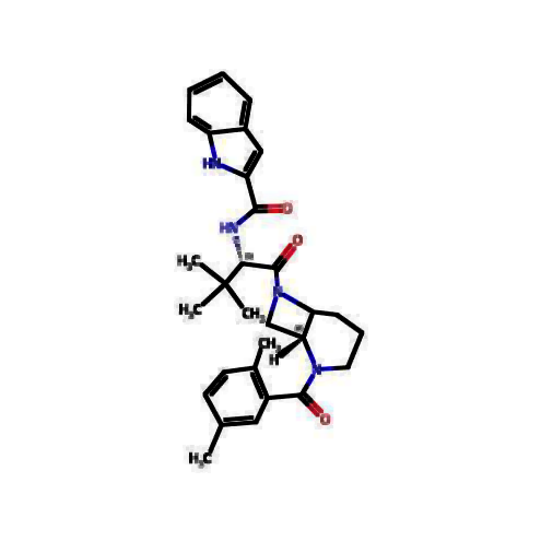 Cc1ccc(C)c(C(=O)N2CCCC3[C@H]2CN3C(=O)[C@@H](NC(=O)c2cc3ccccc3[nH]2)C(C)(C)C)c1